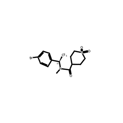 CN(C(=O)C1CCS(=O)(=O)CC1)[C@@H](c1ccc(Br)cc1)C(F)(F)F